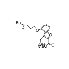 COC(=O)c1oc2cccc(OCCCNC(C)(C)C)c2c1CO